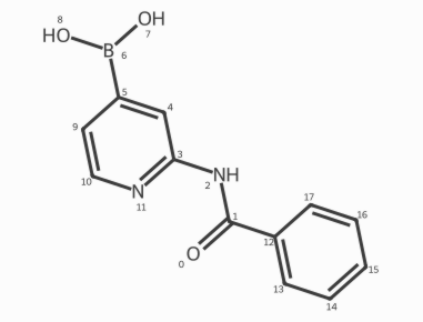 O=C(Nc1cc(B(O)O)ccn1)c1ccccc1